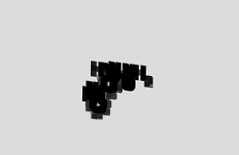 NC(=O)c1n[nH]c2cc(-n3nnc4ccccc43)ccc12